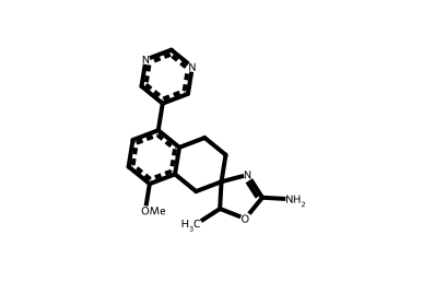 COc1ccc(-c2cncnc2)c2c1CC1(CC2)N=C(N)OC1C